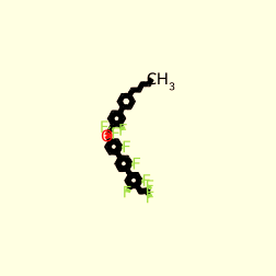 CCCCCC1CCC(c2ccc(C(F)(F)Oc3ccc(-c4ccc(-c5cc(F)c(C=C(F)F)c(F)c5)c(F)c4)c(F)c3)c(F)c2)CC1